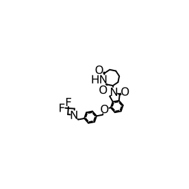 O=C1CCCCC(N2Cc3c(OCc4ccc(CN5CC(F)(F)C5)cc4)cccc3C2=O)C(=O)N1